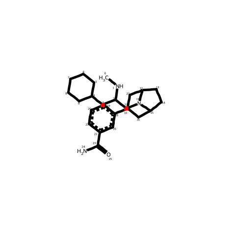 CNC(CC1CCCCC1)CN1C2CCC1CC(c1cccc(C(N)=O)c1)C2